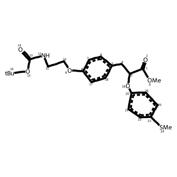 COC(=O)C(Cc1ccc(OCCNC(=O)OC(C)(C)C)cc1)Oc1ccc(SC)cc1